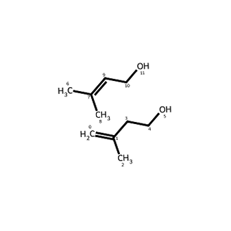 C=C(C)CCO.CC(C)=CCO